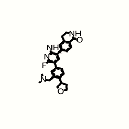 CN(C)Cc1cc(-c2cc(-c3ccc4c(c3)CCNC4=O)c(N)nc2F)ccc1C1CCOC1